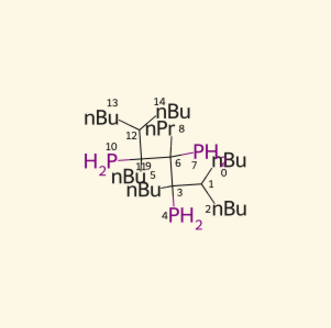 CCCCC(CCCC)C(P)(CCCC)C(P)(CCC)C(P)(CCCC)C(CCCC)CCCC